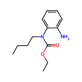 CCCCN(C(=O)OCC)c1ccccc1N